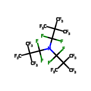 FC(F)(F)C(C(F)(F)F)(C(F)(F)F)C(F)(F)N(C(F)(F)C(C(F)(F)F)(C(F)(F)F)C(F)(F)F)C(F)(F)C(C(F)(F)F)(C(F)(F)F)C(F)(F)F